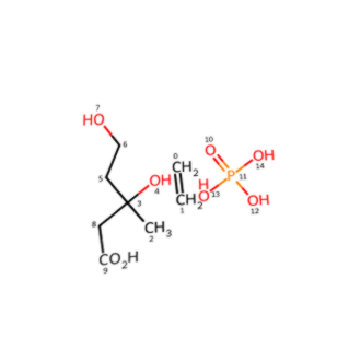 C=C.CC(O)(CCO)CC(=O)O.O=P(O)(O)O